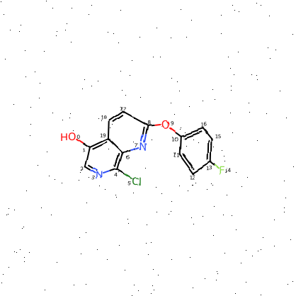 Oc1cnc(Cl)c2nc(Oc3ccc(F)cc3)ccc12